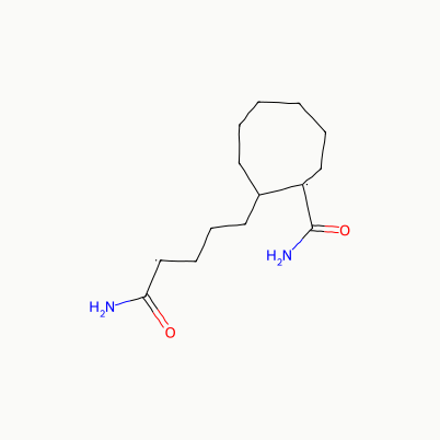 NC(=O)[CH]CCCC1CCCCCC[C]1C(N)=O